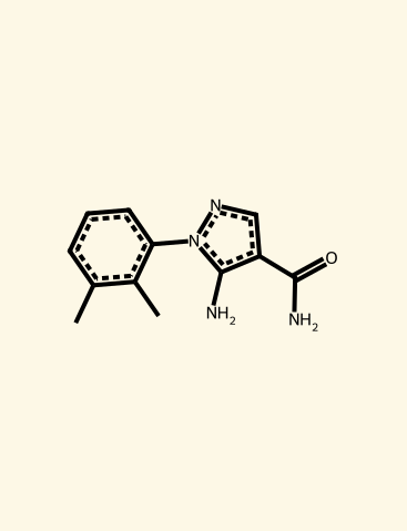 Cc1cccc(-n2ncc(C(N)=O)c2N)c1C